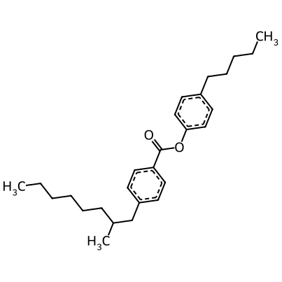 CCCCCCC(C)Cc1ccc(C(=O)Oc2ccc(CCCCC)cc2)cc1